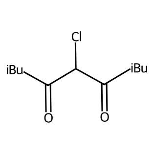 CCC(C)C(=O)C(Cl)C(=O)C(C)CC